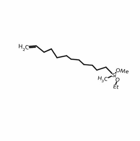 C=CCCCCCCCCCC[Si](C)(OC)OCC